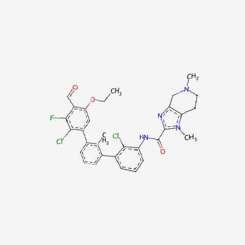 CCOc1cc(-c2cccc(-c3cccc(NC(=O)c4nc5c(n4C)CCN(C)C5)c3Cl)c2C)c(Cl)c(F)c1C=O